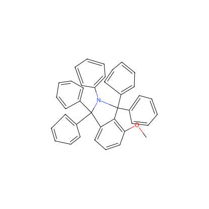 COc1cccc2c1C(c1ccccc1)(c1ccccc1)N(c1ccccc1)C2(c1ccccc1)c1ccccc1